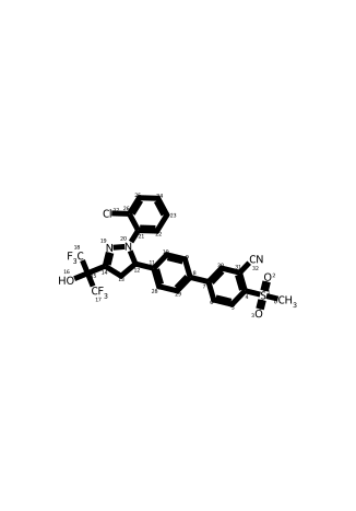 CS(=O)(=O)c1ccc(-c2ccc(C3CC(C(O)(C(F)(F)F)C(F)(F)F)=NN3c3ccccc3Cl)cc2)cc1C#N